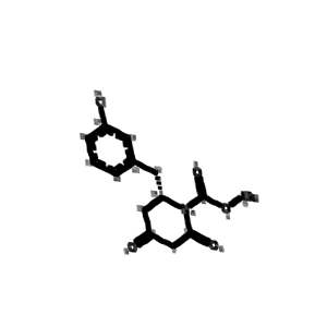 CC(C)(C)OC(=O)N1C(=O)CC(=O)C[C@@H]1Cc1cccc(Cl)c1